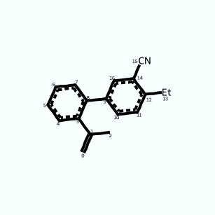 C=C(C)c1ccccc1-c1ccc(CC)c(C#N)c1